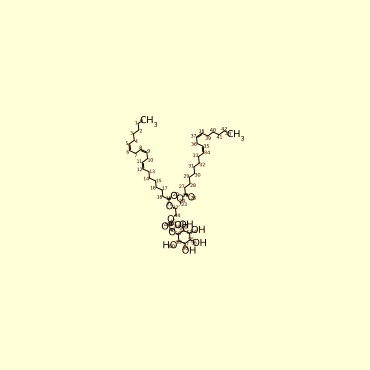 CCCCC/C=C\C/C=C\C/C=C\CCCCCCC(=O)O[C@H](COC(=O)CCCCCCC/C=C\C/C=C\CCCCC)COP(=O)(O)OC1C(O)C(O)C(O)[C@@H](O)C1O